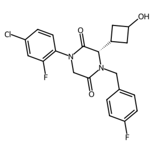 O=C1[C@H](C2CC(O)C2)N(Cc2ccc(F)cc2)C(=O)CN1c1ccc(Cl)cc1F